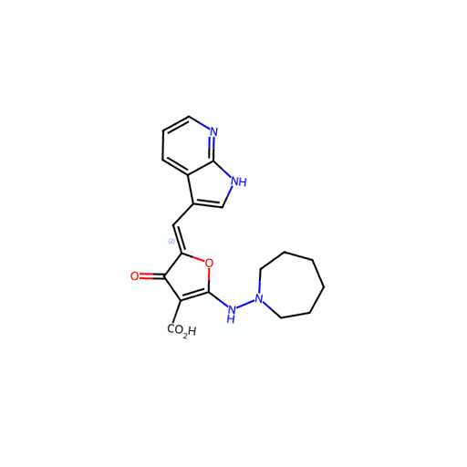 O=C(O)C1=C(NN2CCCCCC2)O/C(=C\c2c[nH]c3ncccc23)C1=O